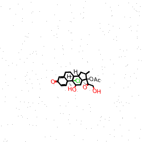 CC(=O)O[C@]1(C(=O)CO)C(C)C[C@H]2[C@@H]3CCC4=CC(=O)C=C[C@]4(C)[C@@]3(Cl)C(O)C[C@@]21C